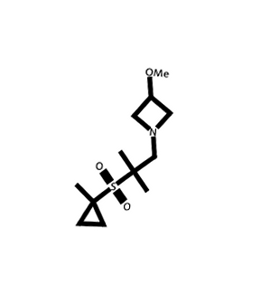 COC1CN(CC(C)(C)S(=O)(=O)C2(C)CC2)C1